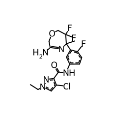 CCn1cc(Cl)c(C(=O)Nc2ccc(F)c(C3(C)N=C(N)COCC3(F)F)c2)n1